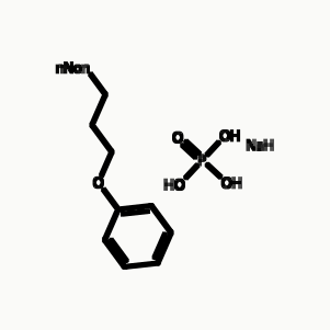 CCCCCCCCCCCCOc1ccccc1.O=P(O)(O)O.[NaH]